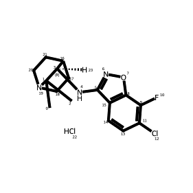 CC1(C)[C@H](Nc2noc3c(F)c(Cl)ccc23)C2CCN1CC2.Cl